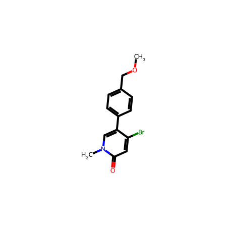 COCc1ccc(-c2cn(C)c(=O)cc2Br)cc1